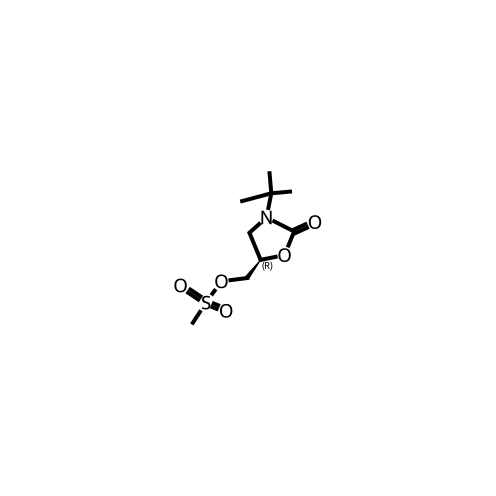 CC(C)(C)N1C[C@H](COS(C)(=O)=O)OC1=O